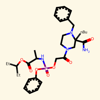 CCCCC1(C(N)=O)CN(C(=O)COP(=O)(NC(C)C(=O)OC(CC)CC)Oc2ccccc2)CCN1Cc1ccccc1